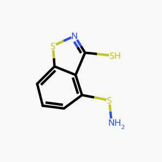 NSc1cccc2snc(S)c12